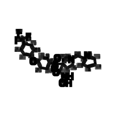 O=C(NO)C1(S(=O)(=O)c2ccc(Oc3ccc(C(F)(F)F)cc3)cc2)CCN(Cc2ccccn2)CC1